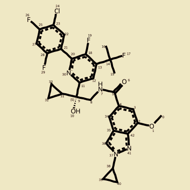 COc1cc(C(=O)NC[C@](O)(c2cc(C(C)(C)F)c(F)c(-c3cc(Cl)c(F)cc3F)n2)C2CC2)cc2cn(C3CC3)nc12